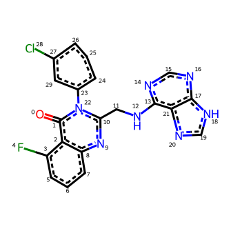 O=c1c2c(F)cccc2nc(CNc2ncnc3[nH]cnc23)n1-c1cccc(Cl)c1